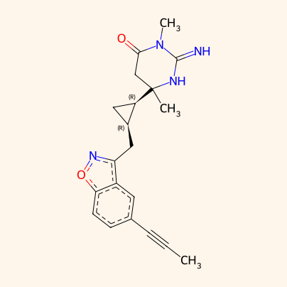 CC#Cc1ccc2onc(C[C@H]3C[C@H]3C3(C)CC(=O)N(C)C(=N)N3)c2c1